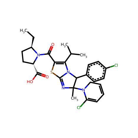 CC[C@@H]1CC[C@@H](C(=O)O)N1C(=O)C1=C(C(C)C)N2C(=NC(C)(N3CC=CC=C3Cl)C2c2ccc(Cl)cc2)S1